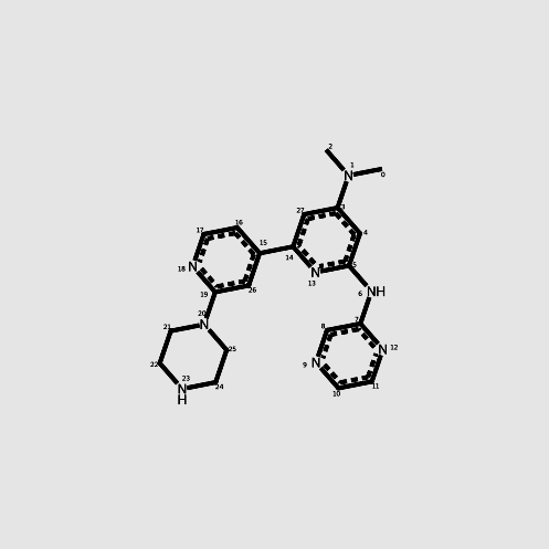 CN(C)c1cc(Nc2cnccn2)nc(-c2ccnc(N3CCNCC3)c2)c1